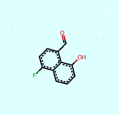 O=Cc1ccc(F)c2cccc(O)c12